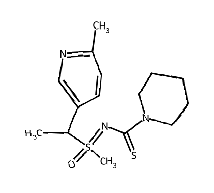 Cc1ccc(C(C)S(C)(=O)=NC(=S)N2CCCCC2)cn1